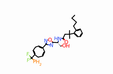 CCCCc1ccccc1C(C)(C)CC(=O)N[C@H](CO)c1nc(C2=CC/C=C(/C(F)(F)P)C/C=C\2)no1